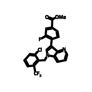 COC(=O)c1ccc(-c2cn(Cc3c(Cl)cccc3C(F)(F)F)c3cccnc23)c(F)c1